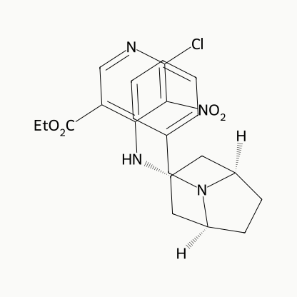 CCOC(=O)c1cnc(Cl)c([N+](=O)[O-])c1N[C@@H]1C[C@H]2CC[C@@H](C1)N2Cc1ccccc1